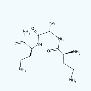 C=C(N)[C@H](CCN)NC(=O)[C@H](CCC)NC(=O)[C@@H](N)CCN